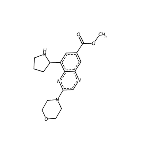 COC(=O)c1cc(C2CCCN2)c2nc(N3CCOCC3)cnc2c1